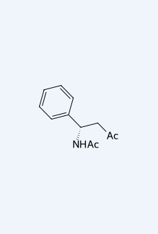 CC(=O)C[C@H](NC(C)=O)c1ccccc1